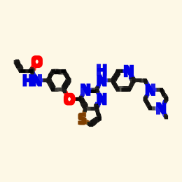 C=CC(=O)Nc1cccc(Oc2nc(Nc3ccc(CN4CCN(C)CC4)nc3)nc3ccsc23)c1